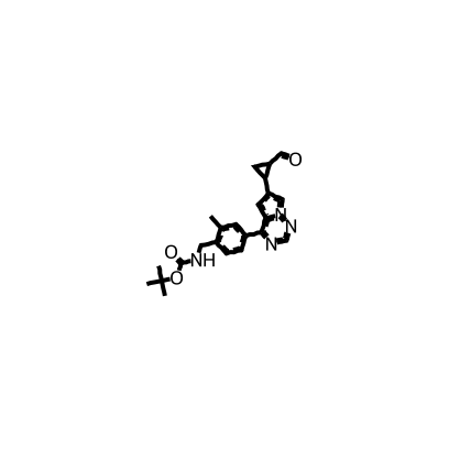 Cc1cc(-c2ncnn3cc(C4CC4C=O)cc23)ccc1CNC(=O)OC(C)(C)C